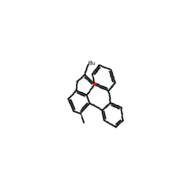 CCC(C)C1=Cc2c(ccc(C)c2-c2ccccc2-c2ccccc2)[CH]1